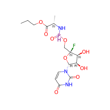 CCCOC(=O)[C@H](C)N[PH](=O)OC[C@@]1(F)O[C@@H](n2ccc(=O)[nH]c2=O)[C@H](O)[C@@H]1O